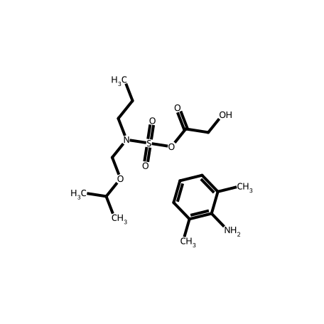 CCCN(COC(C)C)S(=O)(=O)OC(=O)CO.Cc1cccc(C)c1N